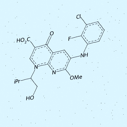 COc1nc2c(cc1Nc1cccc(Cl)c1F)c(=O)c(C(=O)O)cn2C(CO)C(C)C